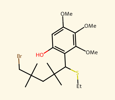 CCSC(c1c(O)cc(OC)c(OC)c1OC)C(C)(C)CC(C)(C)CBr